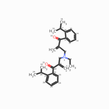 C=C(CN(CC)CC(=C)C(=O)c1ccccc1C(C)C)C(=O)c1ccccc1C(C)C